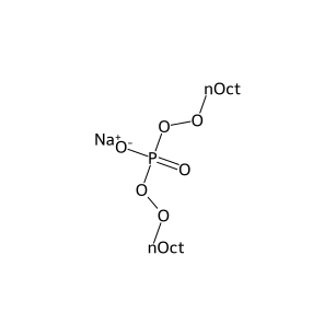 CCCCCCCCOOP(=O)([O-])OOCCCCCCCC.[Na+]